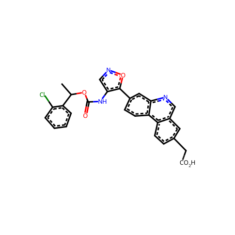 CC(OC(=O)Nc1cnoc1-c1ccc2c(c1)ncc1cc(CC(=O)O)ccc12)c1ccccc1Cl